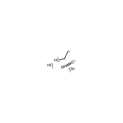 CCO.Cl.Cl.O=P